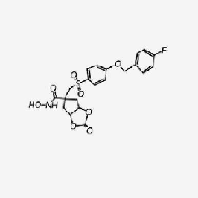 O=C1OC2CC(CS(=O)(=O)c3ccc(OCc4ccc(F)cc4)cc3)(C(=O)NO)CC2O1